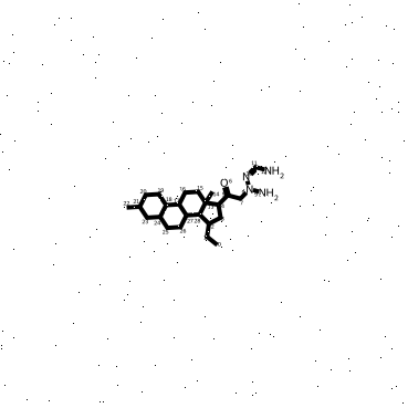 CCC1CC(C(=O)CN(N)/N=C\N)C2(C)CCC3C4CCC(C)CC4CCC3C12